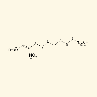 CCCCCC/C=C(/CCCCCCCC(=O)O)[N+](=O)[O-]